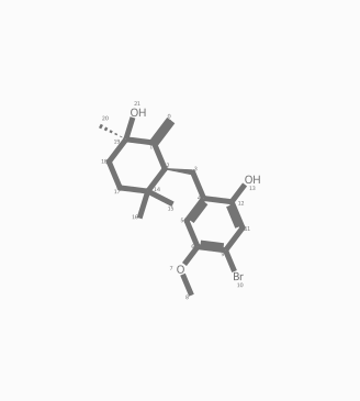 C=C1[C@@H](Cc2cc(OC)c(Br)cc2O)C(C)(C)CC[C@@]1(C)O